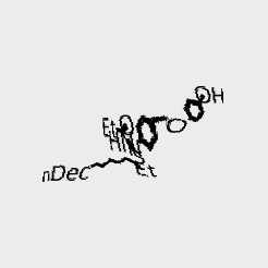 CCCCCCCCCCCCCCCC(CC)SN(NC(=O)CC)c1ccc(COc2ccc(O)cc2)cc1